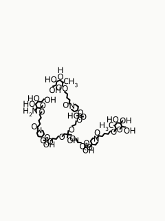 CC1C(OCCCCC(=O)N2CCC(OP(=O)(O)OCCCOCC(CO)(COCCCOP(=O)(O)OC3CCN(C(=O)CCCCOC4OC(CO)C(O)C(O)C4C)CC3)COCCCOP(=O)(O)OC3CCN(C(=O)CCCCOC4OC(CO)C(O)C(O)C4N)CC3)CC2)OC(CO)C(O)C1O